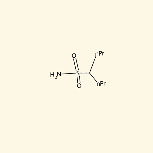 CCCC(CCC)S(N)(=O)=O